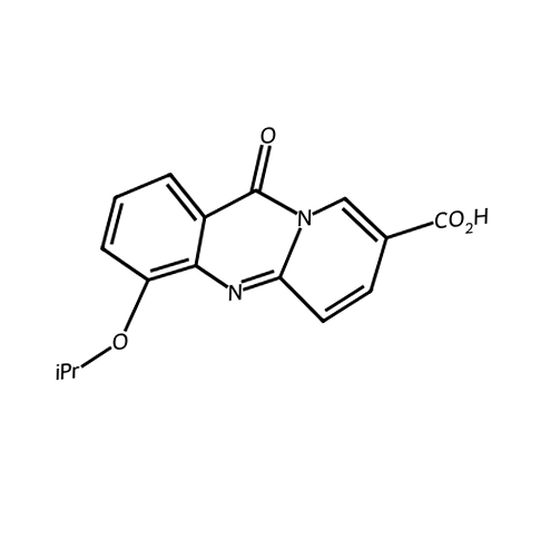 CC(C)Oc1cccc2c(=O)n3cc(C(=O)O)ccc3nc12